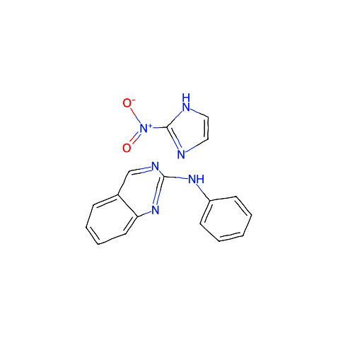 O=[N+]([O-])c1ncc[nH]1.c1ccc(Nc2ncc3ccccc3n2)cc1